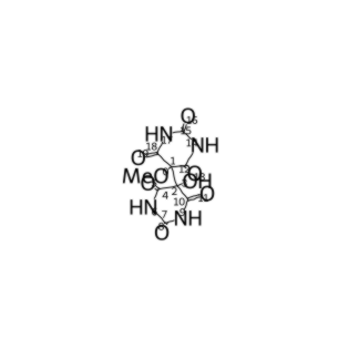 COC1(C2(O)C(=O)NC(=O)NC2=O)C(=O)NC(=O)NC1=O